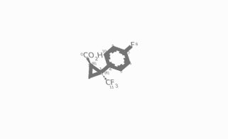 O=C(O)[C@@H]1C[C@@]1(c1ccc(F)cc1)C(F)(F)F